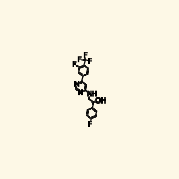 OC(CNc1cc(-c2ccc(C(F)(F)F)c(F)c2)ncn1)c1ccc(F)cc1